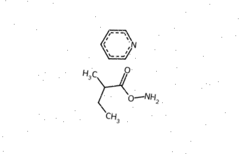 CCC(C)C(=O)ON.c1ccncc1